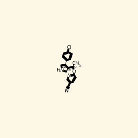 C[C@H](Oc1ccc(C#N)cn1)[C@H]1CNC[C@@H]1c1ccc(Cl)cc1